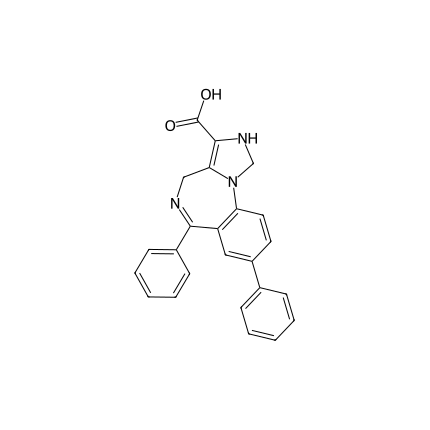 O=C(O)C1=C2CN=C(c3ccccc3)c3cc(-c4ccccc4)ccc3N2CN1